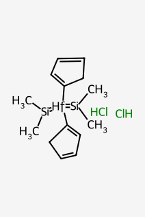 C[Si](C)=[Hf]([C]1=CC=CC1)([C]1=CC=CC1)=[Si](C)C.Cl.Cl